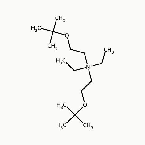 CC[N+](CC)(CCOC(C)(C)C)CCOC(C)(C)C